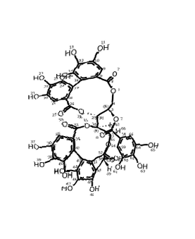 O=C(O[C@@H]1COC(=O)c2cc(O)c(O)c(O)c2-c2c(cc(O)c(O)c2O)C(=O)O[C@H]1[C@@H]1OC(=O)c2cc(O)c(O)c(O)c2-c2c(O)c(O)c(O)c3c2C(=O)O[C@H]1[C@@H]3O)c1cc(O)c(O)c(O)c1